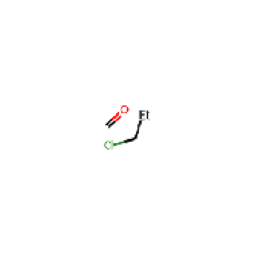 C=O.CCCCl